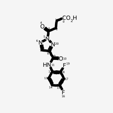 O=C(O)CCC(=O)n1ncc(C(=O)Nc2ccc(F)cc2F)n1